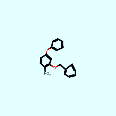 O=[N+]([O-])c1ccc(Oc2cc[c]cc2)cc1OCc1ccccc1